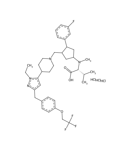 CCn1nc(Cc2ccc(OCC(F)(F)F)cc2)cc1C1CCN(CC2CC(N(C)[C@@H](C(=O)O)C(C)C)CC2c2cccc(F)c2)CC1.Cl.Cl.Cl